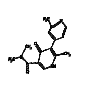 Cc1[nH]cc(C(=O)N(C)C)c(=O)c1-c1ccnc(C(F)(F)F)c1